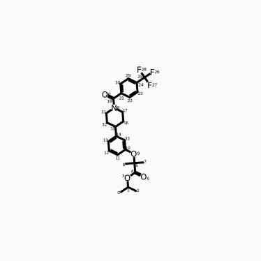 CC(C)OC(=O)C(C)(C)Oc1cccc(C2CCN(C(=O)c3ccc(C(F)(F)F)cc3)CC2)c1